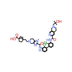 Cn1c(C(=O)Nc2cccc(-c3cccc(NC(=O)c4cc5c(cn4)CN(CC(C)(C)O)CC5)c3Cl)c2Cl)nc2c1CCN(CCC13CCC(C(=O)O)(CC1)C3)C2